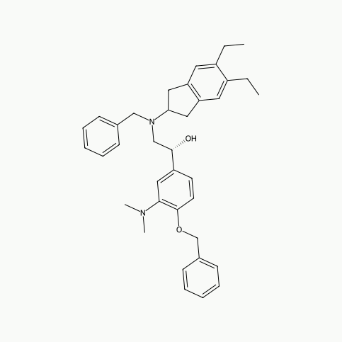 CCc1cc2c(cc1CC)CC(N(Cc1ccccc1)C[C@H](O)c1ccc(OCc3ccccc3)c(N(C)C)c1)C2